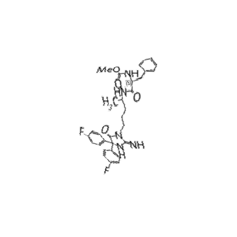 COC(=O)N[C@@H](Cc1ccccc1)C(=O)NC(C)CCCN1C(=N)NC(c2ccc(F)cc2)(c2ccc(F)cc2)C1=O